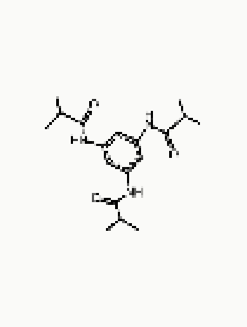 CC(C)C(=O)Nc1[c]c(NC(=O)C(C)C)cc(NC(=O)C(C)C)c1